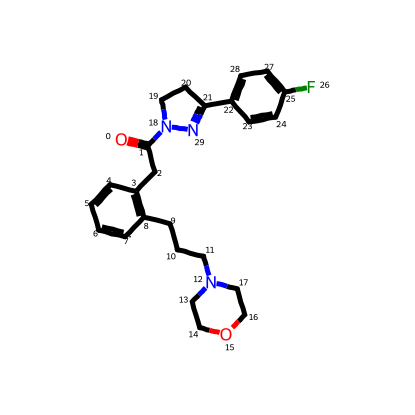 O=C(Cc1ccc[c]c1CCCN1CCOCC1)N1CCC(c2ccc(F)cc2)=N1